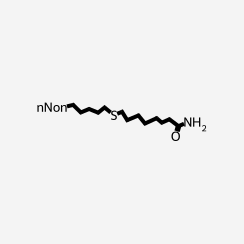 CCCCCCCCCCCCCCSCCCCCCCC(N)=O